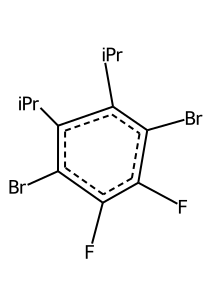 CC(C)c1c(Br)c(F)c(F)c(Br)c1C(C)C